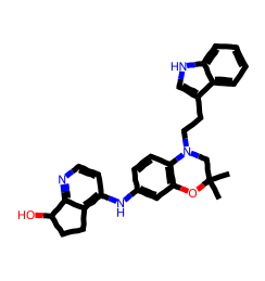 CC1(C)CN(CCc2c[nH]c3ccccc23)c2ccc(Nc3ccnc4c3CCC4O)cc2O1